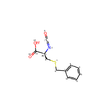 O=C=N[C@@H](CSCc1ccccc1)C(=O)O